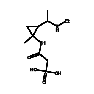 CCBC(C)C1CC1(C)BC(=O)CP(=O)(O)O